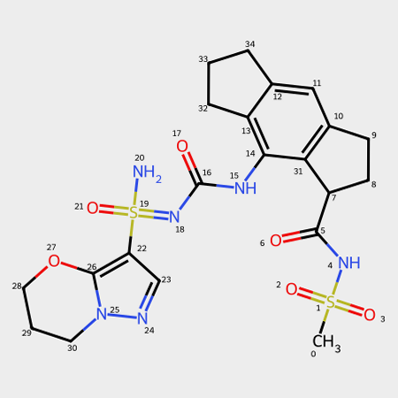 CS(=O)(=O)NC(=O)C1CCc2cc3c(c(NC(=O)N=S(N)(=O)c4cnn5c4OCCC5)c21)CCC3